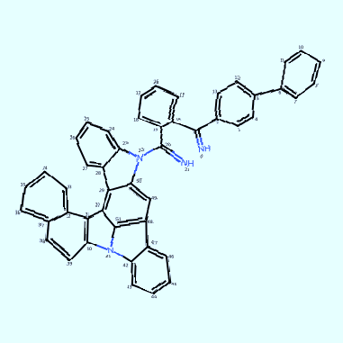 N=C(c1ccc(-c2ccccc2)cc1)c1ccccc1C(=N)n1c2ccccc2c2c3c4c5ccccc5ccc4n4c5ccccc5c(cc21)c34